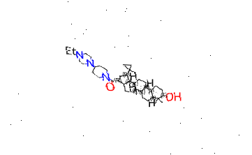 CCN1CCN(C2CCN(C(=O)[C@@H]3C[C@@H](C4(C)CC4)[C@H]4C3CC[C@]3(C)[C@@H]4CC[C@@H]4[C@@]5(C)CC[C@H](O)C(C)(C)[C@@H]5CC[C@]43C)CC2)CC1